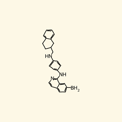 Bc1ccc2ccnc(Nc3ccc(NCC4CCc5ccccc5C4)cc3)c2c1